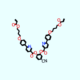 C=CC(=O)OCCCCOc1ccc(-c2ccc(C(=O)Oc3ccc(C#N)cc3OC(=O)c3ccc(-c4ccc(OCCCCOC(=O)C=C)cc4)nc3)cn2)cc1